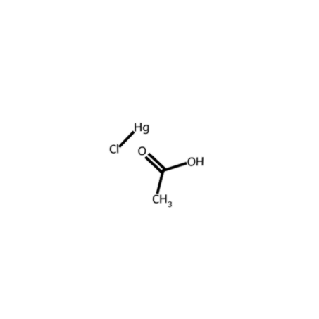 CC(=O)O.[Cl][Hg]